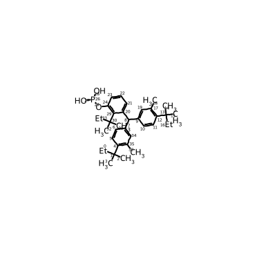 CCC(C)(C)c1ccc(C(c2ccc(C(C)(C)CC)c(C)c2)c2cccc(OP(O)O)c2C(C)(C)CC)cc1C